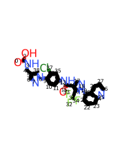 O=C(O)NCc1cnn(-c2ccc(NC(=O)c3cnn(-c4cccc5ncccc45)c3C(F)(F)F)cc2Cl)c1